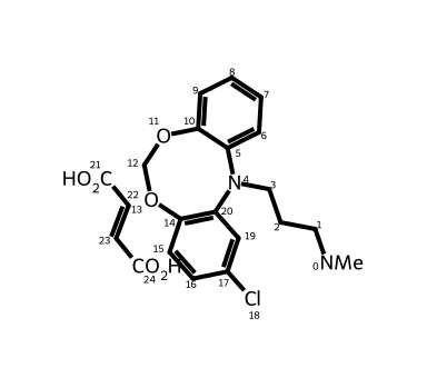 CNCCCN1c2ccccc2OCOc2ccc(Cl)cc21.O=C(O)C=CC(=O)O